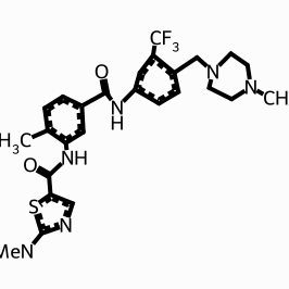 CNc1ncc(C(=O)Nc2cc(C(=O)Nc3ccc(CN4CCN(C)CC4)c(C(F)(F)F)c3)ccc2C)s1